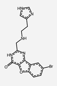 O=c1[nH]c(CNCCc2c[nH]cn2)nc2c1oc1ccc(Br)cc12